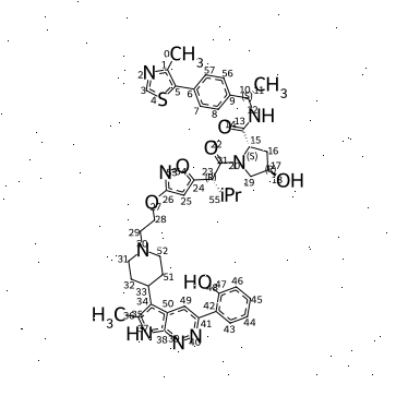 Cc1ncsc1-c1ccc([C@H](C)NC(=O)[C@@H]2C[C@@H](O)CN2C(=O)[C@@H](c2cc(OCCN3CCC(c4c(C)[nH]c5nnc(-c6ccccc6O)cc45)CC3)no2)C(C)C)cc1